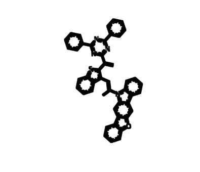 C=C(c1nc(-c2ccccc2)nc(-c2ccccc2)n1)c1sc2ccccc2c1/C=C(\C)n1c2ccccc2c2cc3oc4ccccc4c3cc21